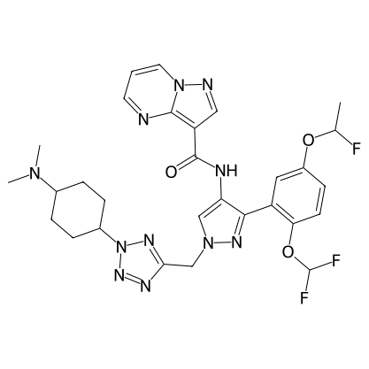 CC(F)Oc1ccc(OC(F)F)c(-c2nn(Cc3nnn(C4CCC(N(C)C)CC4)n3)cc2NC(=O)c2cnn3cccnc23)c1